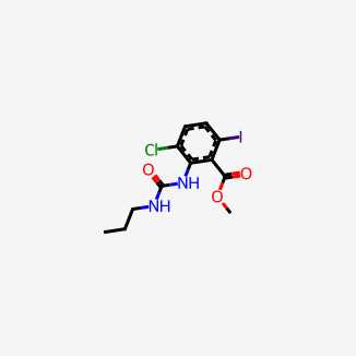 CCCNC(=O)Nc1c(Cl)ccc(I)c1C(=O)OC